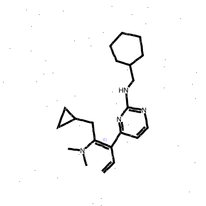 C=C/C(=C(/CC1CC1)N(C)C)c1ccnc(NCC2CCCCC2)n1